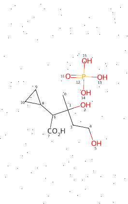 CC(O)(CCO)C(C(=O)O)C1CC1.O=P(O)(O)O